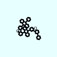 c1ccc(-c2ccc3oc4ccc(-c5c6ccccc6c(-c6cccc7oc8ccc(-c9c%10ccccc%10c(-c%10ccccc%10)c%10ccccc9%10)cc8c67)c6ccccc56)cc4c3c2)cc1